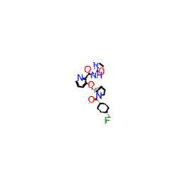 O=C(Nc1ncco1)c1ncccc1OC[C@@H]1CCCN1C(=O)[C@H]1CC[C@@H](CF)CC1